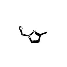 CCSn1ccc(C)n1